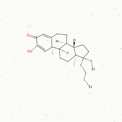 CCSCSC1(SCC)CC[C@H]2[C@@H]3CCC4=CC(=O)C(O)=C[C@]4(C)C3(F)CC[C@@]21C